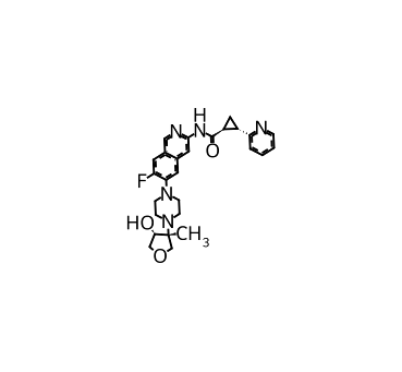 C[C@@]1(N2CCN(c3cc4cc(NC(=O)[C@H]5C[C@@H]5c5ccccn5)ncc4cc3F)CC2)COC[C@@H]1O